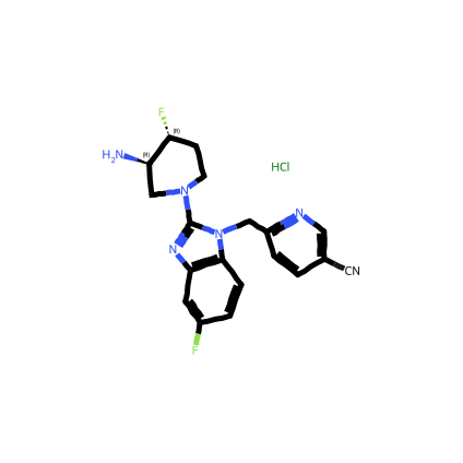 Cl.N#Cc1ccc(Cn2c(N3CC[C@@H](F)[C@H](N)C3)nc3cc(F)ccc32)nc1